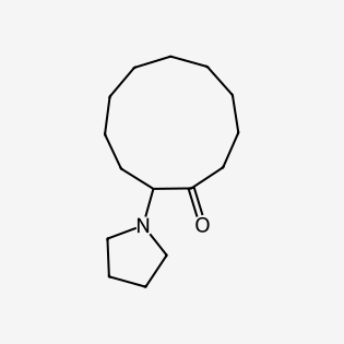 O=C1CCCCCCCCCC1N1CCCC1